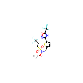 CON(Cc1ccc(-c2noc(C(F)(F)F)n2)s1)S(=O)(=O)CCC(F)(F)F